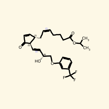 CC(C)OC(=O)CCC/C=C\C[C@H]1C=CC(=O)[C@@H]1/C=C/[C@@H](O)COc1cccc(C(F)(F)F)c1